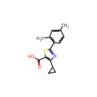 Cc1ccc(-c2nc(C3CC3)c(C(=O)O)s2)c(C)c1